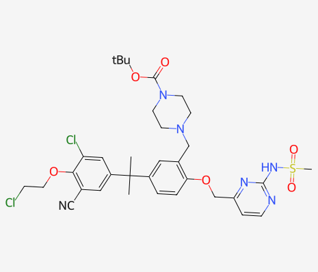 CC(C)(C)OC(=O)N1CCN(Cc2cc(C(C)(C)c3cc(Cl)c(OCCCl)c(C#N)c3)ccc2OCc2ccnc(NS(C)(=O)=O)n2)CC1